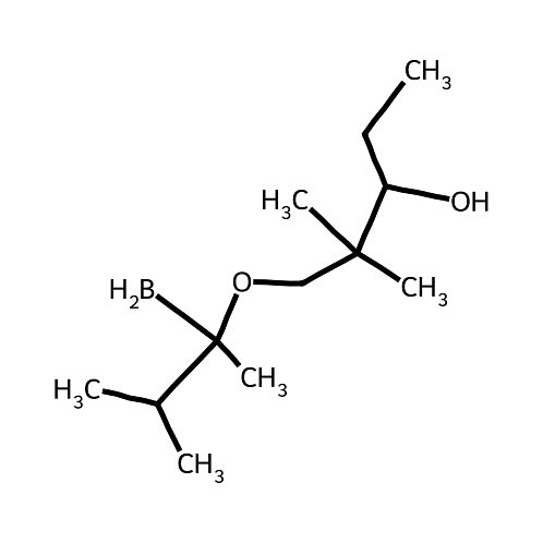 BC(C)(OCC(C)(C)C(O)CC)C(C)C